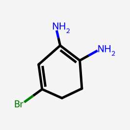 NC1=C(N)CCC(Br)=C1